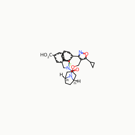 O=C(O)c1ccc2c(c1)CN(C(=O)N1[C@@H]3CC[C@H]1CC(OCc1c(-c4ccccc4F)noc1C1CC1)C3)C2